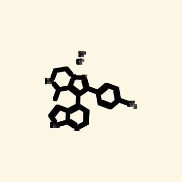 CC1NCCn2nc(-c3ccc(C(F)(F)F)cc3)c(-c3ccnc4[nH]ccc34)c21.[Cl-].[H+]